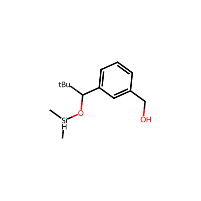 C[SiH](C)OC(c1cccc(CO)c1)C(C)(C)C